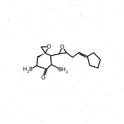 BC1C[C@]2(CO2)C(C2OC2CC=C2CCCC2)C(B)C1=O